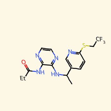 CCC(=O)Nc1nccnc1NC(C)c1ccc(SCC(F)(F)F)nc1